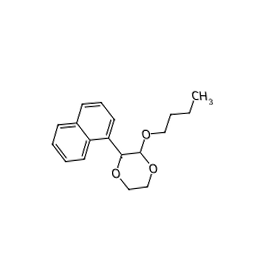 CCCCOC1OCCO[C]1c1cccc2ccccc12